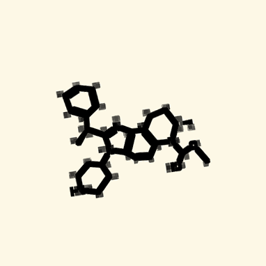 COC(O)N1c2ccc3c(nc([C@@H](C)c4ccccc4)n3C3CCNCC3)c2CC[C@@H]1C